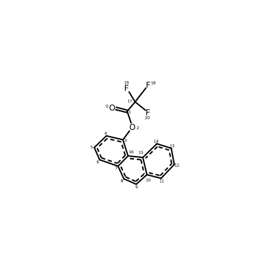 O=C(Oc1cccc2ccc3ccccc3c12)C(F)(F)F